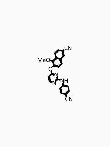 COc1c(Oc2ccnc(Nc3ccc(C#N)cc3)n2)ccc2cc(C#N)ccc12